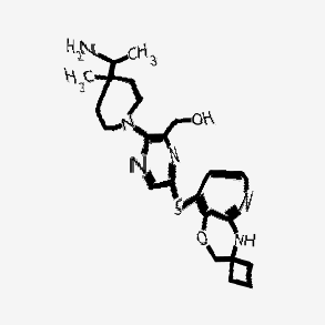 CC(N)C1(C)CCN(c2ncc(Sc3ccnc4c3OCC3(CCC3)N4)nc2CO)CC1